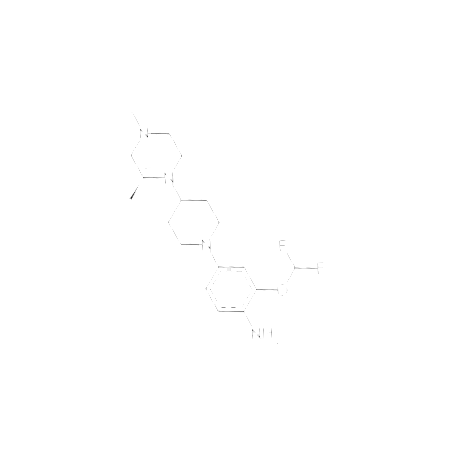 C[C@H]1CN(C)CCN1C1CCN(c2ccc(N)c(OC(F)F)c2)CC1